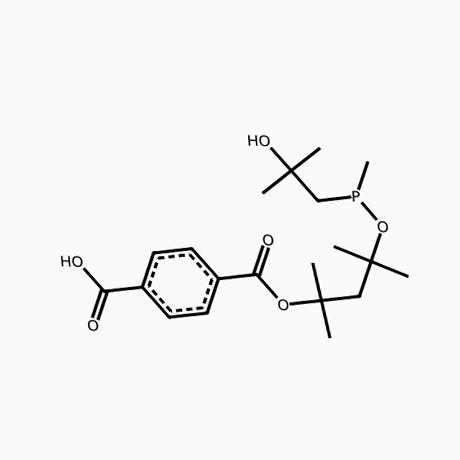 CP(CC(C)(C)O)OC(C)(C)CC(C)(C)OC(=O)c1ccc(C(=O)O)cc1